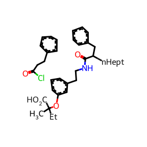 CCCCCCCC(Cc1ccccc1)C(=O)NCCc1cccc(OC(C)(CC)C(=O)O)c1.O=C(Cl)CCc1ccccc1